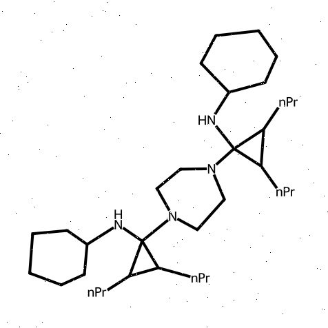 CCCC1C(CCC)C1(NC1CCCCC1)N1CCN(C2(NC3CCCCC3)C(CCC)C2CCC)CC1